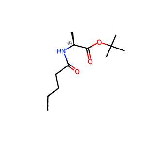 CCCCC(=O)N[C@@H](C)C(=O)OC(C)(C)C